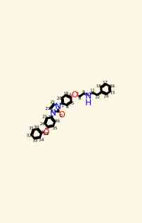 O=c1n(-c2ccc(OCCNCCc3ccccc3)cc2)ccn1-c1ccc(Oc2ccccc2)cc1